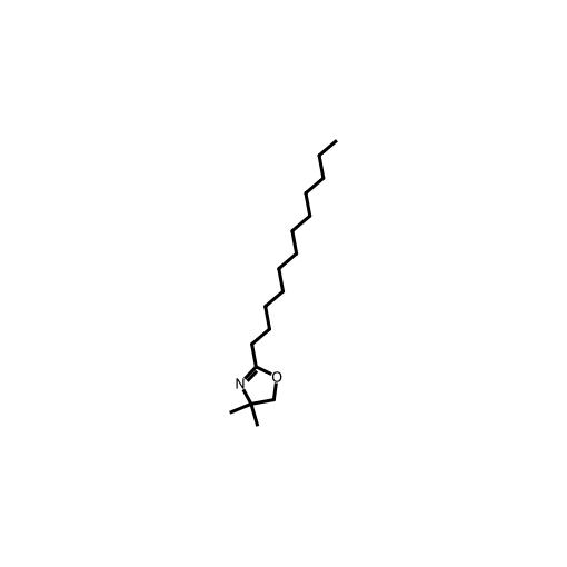 CCCCCCCCCCCCC1=NC(C)(C)CO1